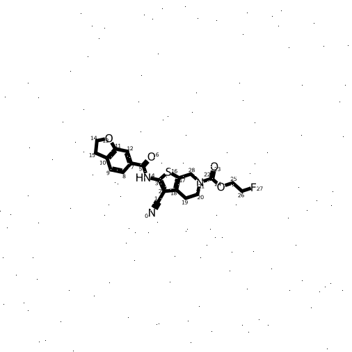 N#Cc1c(NC(=O)c2ccc3c(c2)OCC3)sc2c1CCN(C(=O)OCCF)C2